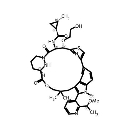 CCn1c(-c2cccnc2[C@H](C)OC)c2c3cc(ccc31)-c1csc(n1)[C@@H](OCCO)[C@H](NC(=O)[C@H]1C[C@@H]1C)C(=O)N1CCC[C@H](N1)C(=O)OCC(C)(C)C2